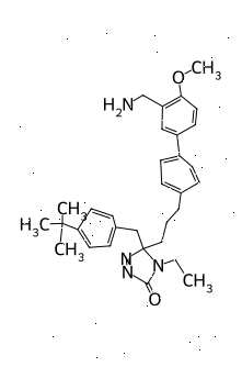 CCN1C(=O)N=NC1(CCCc1ccc(-c2ccc(OC)c(CN)c2)cc1)Cc1ccc(C(C)(C)C)cc1